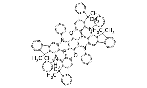 CC1(C)c2ccccc2-c2cc3oc4c5c6c(oc7cc8c(c9c7p6c6c(cc7c(c6n9-c6ccccc6)C(C)(C)c6ccccc6-7)n5-c5ccccc5)C(C)(C)c5ccccc5-8)c5c4p4c3c(c21)n(-c1ccccc1)c1c2c(cc(c14)n5-c1ccccc1)-c1ccccc1C2(C)C